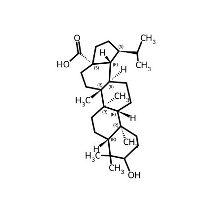 CC(C)[C@@H]1CC[C@]2(C(=O)O)CC[C@]3(C)[C@H](CC[C@@H]4[C@@]5(C)CCC(O)C(C)(C)[C@@H]5CC[C@]43C)[C@@H]12